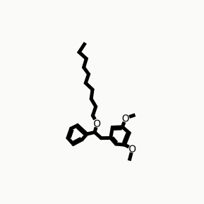 CCCCCCCCCCO[C](Cc1cc(OC)cc(OC)c1)c1ccccc1